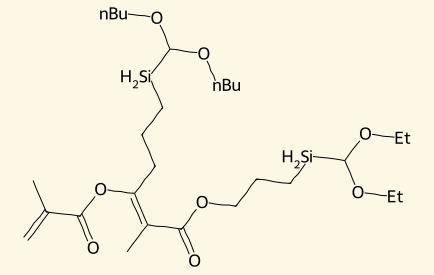 C=C(C)C(=O)OC(CCC[SiH2]C(OCCCC)OCCCC)=C(C)C(=O)OCCC[SiH2]C(OCC)OCC